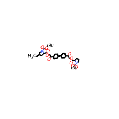 CC=C1CC(C(=O)OCC(=O)c2ccc(-c3ccc(C(=O)COC(=O)C4CCCN4C(=O)OC(C)(C)C)cc3)cc2)N(C(=O)OC(C)(C)C)C1